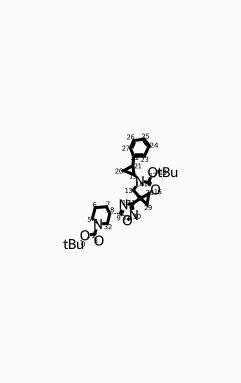 CC(C)(C)OC(=O)N1CCC[C@H](c2nc(C3(CN(C(=O)OC(C)(C)C)[C@H]4CC4c4ccccc4)CC3)no2)C1